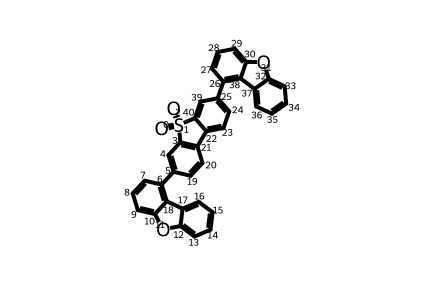 O=S1(=O)c2cc(-c3cccc4oc5ccccc5c34)ccc2-c2ccc(-c3cccc4oc5ccccc5c34)cc21